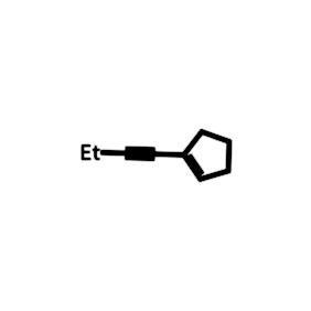 CCC#CC1=CCCC1